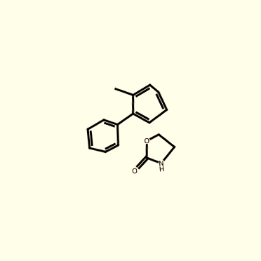 Cc1ccccc1-c1ccccc1.O=C1NCCO1